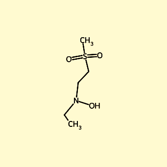 CCN(O)CCS(C)(=O)=O